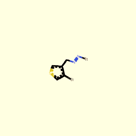 CCN=NCc1cscc1CC